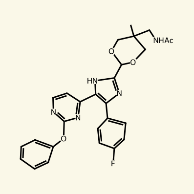 CC(=O)NCC1(C)COC(c2nc(-c3ccc(F)cc3)c(-c3ccnc(Oc4ccccc4)n3)[nH]2)OC1